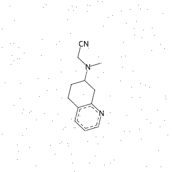 CN(CC#N)C1CCc2cccnc2C1